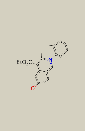 CCOC(=O)c1c2cc(=O)ccc-2cn(-c2ccccc2C)c1C